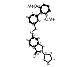 COc1cccc(OC)c1-c1cccc(COc2ccc3c(c2)CN(C2CCCC2)C3=O)c1